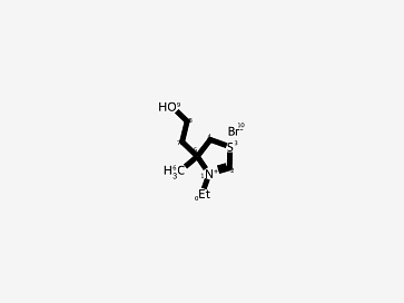 CC[N+]1=CSCC1(C)CCO.[Br-]